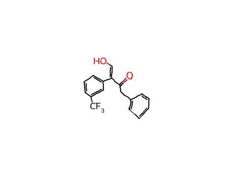 O=C(Cc1ccccc1)C(=CO)c1cccc(C(F)(F)F)c1